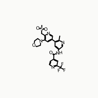 Cc1ncc(NC(=O)c2ccnc(C(F)(F)F)c2)cc1-c1cnc(CS(C)(=O)=O)c(N2CCOCC2)c1